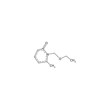 CCOCn1c(C)cccc1=O